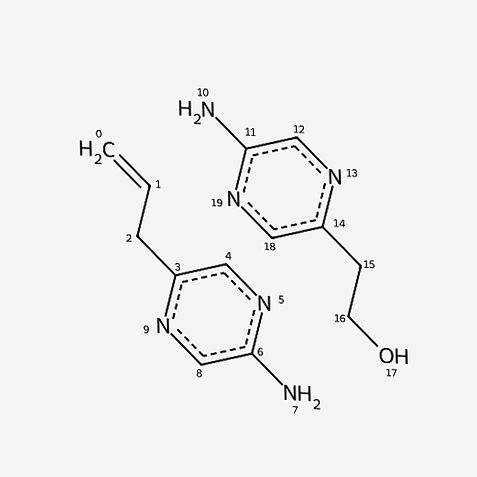 C=CCc1cnc(N)cn1.Nc1cnc(CCO)cn1